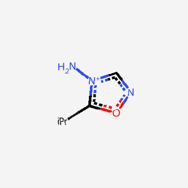 CC(C)c1onc[n+]1N